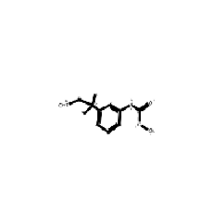 CC(C)(C)OC(=O)Nc1cccc(C(C)(C)CC=O)c1